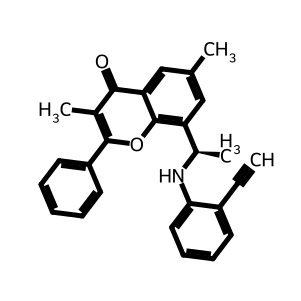 C#Cc1ccccc1N[C@H](C)c1cc(C)cc2c(=O)c(C)c(-c3ccccc3)oc12